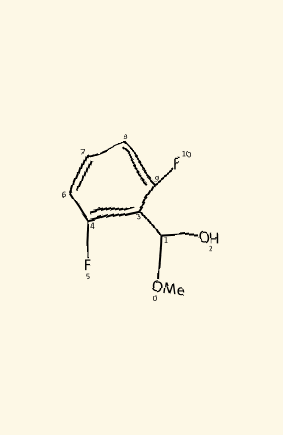 COC(O)c1c(F)cccc1F